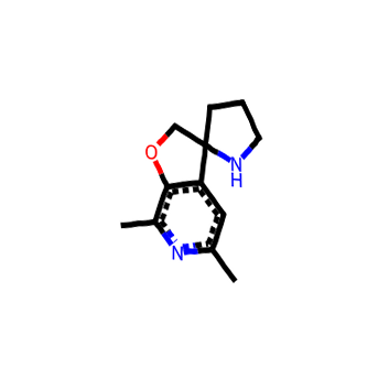 Cc1cc2c(c(C)n1)OCC21CCCN1